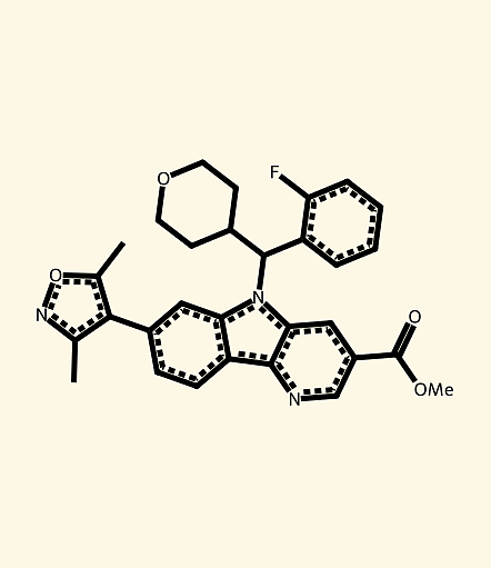 COC(=O)c1cnc2c3ccc(-c4c(C)noc4C)cc3n(C(c3ccccc3F)C3CCOCC3)c2c1